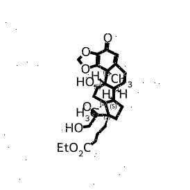 CCOC(=O)CCC[C@]1(C(=O)CO)CC[C@H]2[C@@H]3CCC4=CC(=O)C5=C(OCO5)[C@]4(C)[C@H]3[C@@H](O)C[C@@]21C